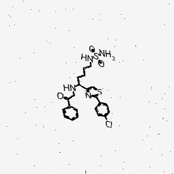 NS(=O)(=O)NCCCCC(NCC(=O)c1ccccc1)c1csc(-c2ccc(Cl)cc2)n1